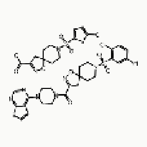 O=C(C1=NOC2(CCN(S(=O)(=O)c3cc(Cl)ccc3Cl)CC2)C1)N1CCN(c2ncnc3sccc23)CC1.O=C(O)C1=NOC2(CCN(S(=O)(=O)c3ccc(Cl)s3)CC2)C1